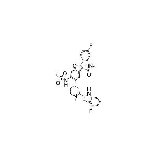 CCS(=O)(=O)Nc1cc2oc(-c3ccc(F)cc3)c(C(=O)NC)c2cc1C1CCN(C)C(c2cc3c(F)cccc3[nH]2)C1